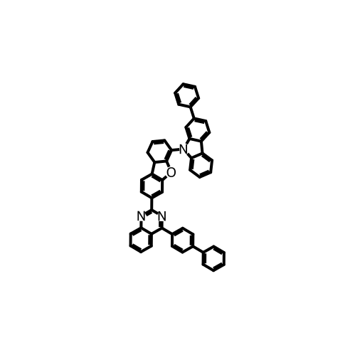 C1=CC(n2c3ccccc3c3ccc(-c4ccccc4)cc32)=C2Oc3cc(-c4nc(-c5ccc(-c6ccccc6)cc5)c5ccccc5n4)ccc3C2C1